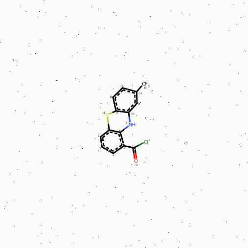 O=C(Cl)c1cccc2c1Nc1cc(C(F)(F)F)ccc1S2